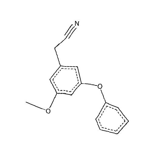 COc1cc(CC#N)cc(Oc2ccccc2)c1